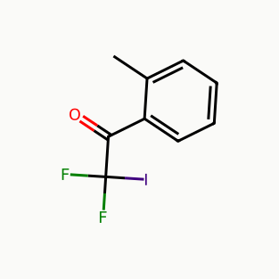 Cc1ccccc1C(=O)C(F)(F)I